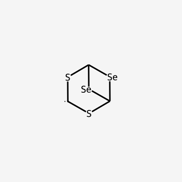 [CH]1SC2[Se]C(S1)[Se]2